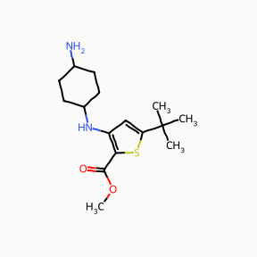 COC(=O)c1sc(C(C)(C)C)cc1NC1CCC(N)CC1